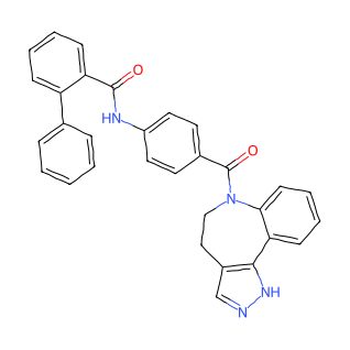 O=C(Nc1ccc(C(=O)N2CCc3cn[nH]c3-c3ccccc32)cc1)c1ccccc1-c1ccccc1